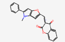 Cn1c(-c2ccccc2)cc2oc(/C=C3\C(=O)Oc4ccccc4C3=O)cc21